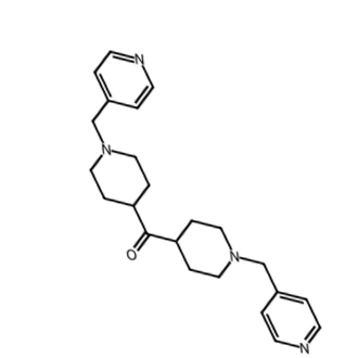 O=C(C1CCN(Cc2ccncc2)CC1)C1CCN(Cc2ccncc2)CC1